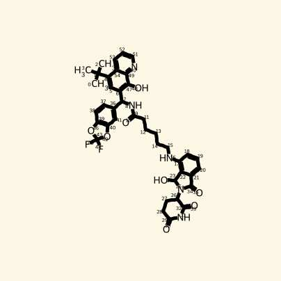 CC(C)(C)c1cc(C(NC(=O)CCCCCNc2cccc3c2C(O)N(C2CCC(=O)NC2=O)C3=O)c2ccc3c(c2)OC(F)(F)O3)c(O)c2ncccc12